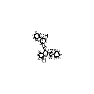 CN(CC(CCN1CCC(O)(c2ccccc2)CC1)c1cccc(Cl)c1)S(=O)(=O)c1ccccc1